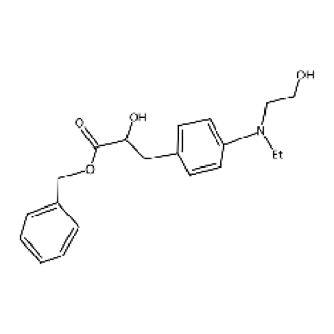 CCN(CCO)c1ccc(CC(O)C(=O)OCc2ccccc2)cc1